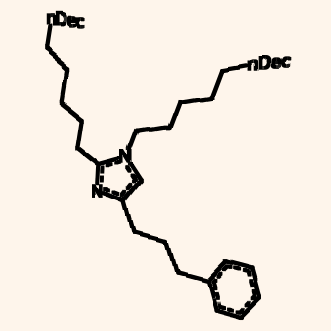 CCCCCCCCCCCCCCCc1nc(CCCc2ccccc2)cn1CCCCCCCCCCCCCCC